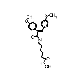 COc1ccc(/C(=C\c2ccc(SC)cc2)C(=O)NCCCCCC(=O)NO)cc1